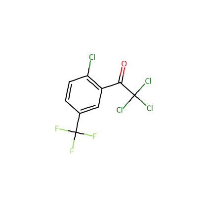 O=C(c1cc(C(F)(F)F)ccc1Cl)C(Cl)(Cl)Cl